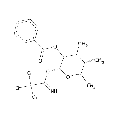 CC1O[C@H](OC(=N)C(Cl)(Cl)Cl)C(OC(=O)c2ccccc2)C(C)[C@@H]1C